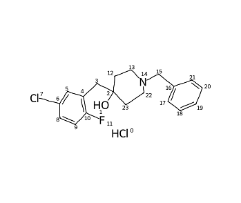 Cl.OC1(Cc2cc(Cl)ccc2F)CCN(Cc2ccccc2)CC1